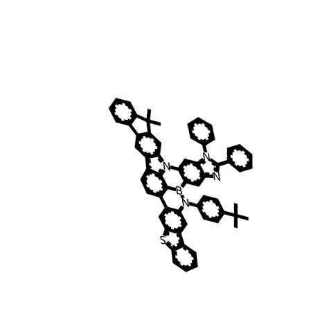 CC(C)(C)c1ccc(N2B3c4cc5nc(-c6ccccc6)n(-c6ccccc6)c5cc4-n4c5cc6c(cc5c5ccc(c3c54)-c3cc4sc5ccccc5c4cc32)-c2ccccc2C6(C)C)cc1